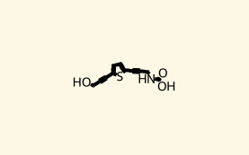 O=C(O)NCC#Cc1ccc(C#CCO)s1